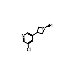 CC(C)N1CC(c2cncc(Cl)c2)C1